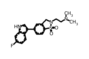 CN(C)CCN1Cc2cc(-c3c[nH]c4cc(F)ccc34)ccc2S1(=O)=O